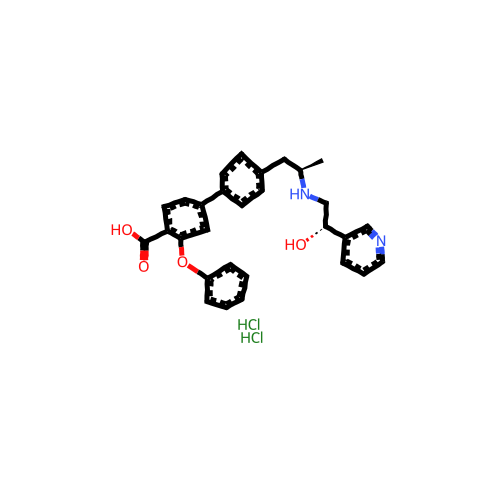 C[C@H](Cc1ccc(-c2ccc(C(=O)O)c(Oc3ccccc3)c2)cc1)NC[C@@H](O)c1cccnc1.Cl.Cl